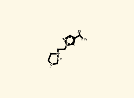 CCCC(CC)c1cnn(CCN2CCOCC2)c1